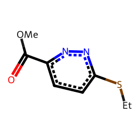 CCSc1ccc(C(=O)OC)nn1